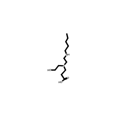 CCCCCNCCN(CCO)CCC(=O)O